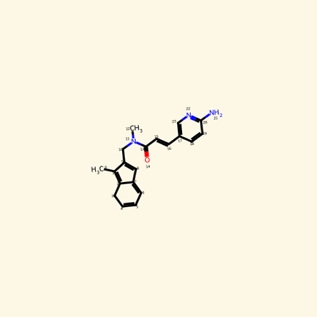 CC1=C2CC=CC=C2C=C1CN(C)C(=O)C=Cc1ccc(N)nc1